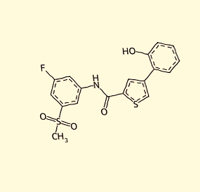 CS(=O)(=O)c1cc(F)cc(NC(=O)c2cc(-c3ccccc3O)cs2)c1